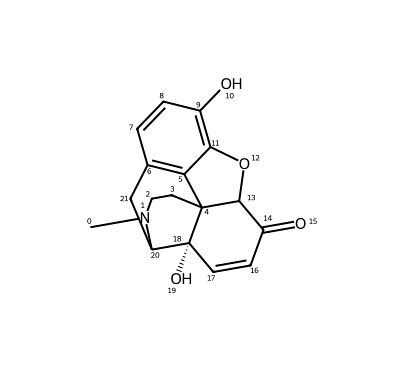 CN1CCC23c4c5ccc(O)c4OC2C(=O)C=C[C@@]3(O)C1C5